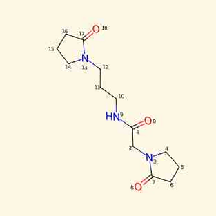 O=C(CN1CCCC1=O)NCCCN1CCCC1=O